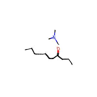 CCCCCC(=O)CCC.CN(C)C